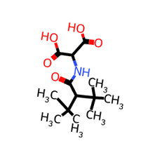 CC(C)(C)C(C(=O)NC(C(=O)O)C(=O)O)C(C)(C)C